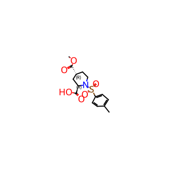 COC(=O)[C@@H]1CCN(S(=O)(=O)c2ccc(C)cc2)[C@@H](C(=O)O)C1